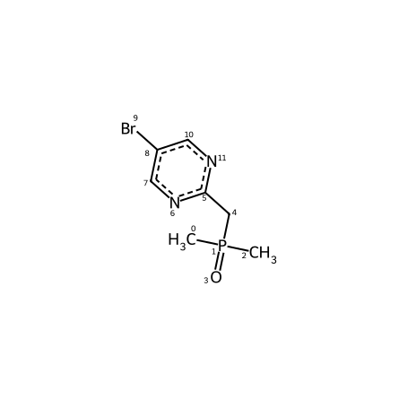 CP(C)(=O)Cc1ncc(Br)cn1